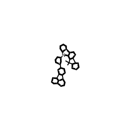 CC1(C)c2ccccc2-c2ccc3c4ccccc4n(-c4cccc(-c5ccc6c(c5)-c5cccc7cccc-6c57)c4)c3c21